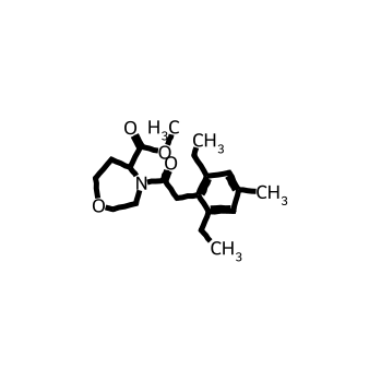 CCc1cc(C)cc(CC)c1CC(=O)N1CCOCCC1C(=O)OC